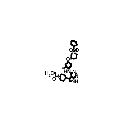 C=CC(=O)N1CCC(c2c[nH]c3ncnc(Nc4ccc(O[C@H]5CCCN(S(=O)(=O)c6ccccc6)C5)cc4F)c23)CC1